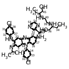 CC(C)/N=c1\cc2n(-c3ccc(Cl)cc3)c3ccccc3nc-2cc1Nc1ccc(Cl)cc1.CC[C@@H](CO)NCCN[C@@H](CC)CO.NC(=O)c1cnccn1